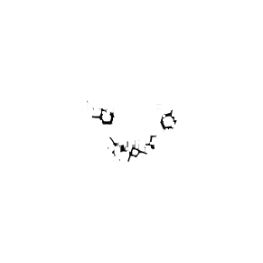 Cc1ccc(OCC(=O)NC2(C)CC(C)(c3nnc(COc4cnc(C#N)c(C)c4)o3)C2)cc1F